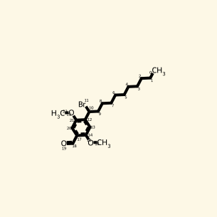 CCCCCCCCCCC(Br)c1cc(OC)c(C=O)cc1OC